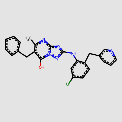 Cc1nc2nc(Nc3cc(Cl)ccc3Cc3cccnc3)nn2c(O)c1Cc1ccccc1